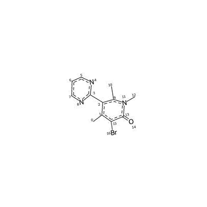 Cc1c(-c2ncccn2)c(C)n(C)c(=O)c1Br